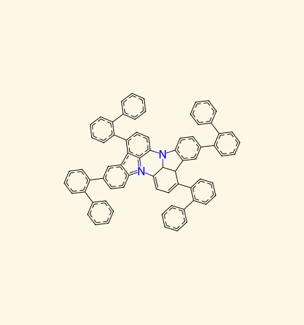 C1=C(c2ccccc2-c2ccccc2)C2c3cc(-c4ccccc4-c4ccccc4)ccc3N3c4ccc(-c5ccccc5-c5ccccc5)c5c6cc(-c7ccccc7-c7ccccc7)ccc6n(c45)C(=C1)C23